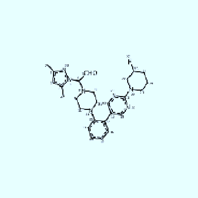 Cc1cc(C)n(C(C=O)N2CCN(c3ccccc3-c3cnc(N4CCCC(F)C4)nc3)CC2)n1